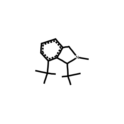 CN1Cc2cccc(C(C)(C)C)c2C1C(C)(C)C